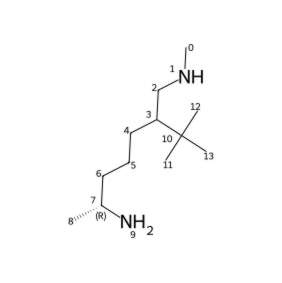 CNCC(CCC[C@@H](C)N)C(C)(C)C